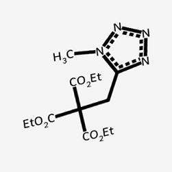 CCOC(=O)C(Cc1nnnn1C)(C(=O)OCC)C(=O)OCC